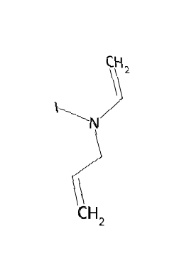 C=CCN(I)C=C